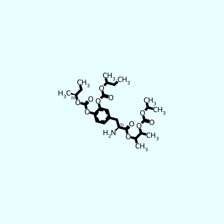 CCC(C)OC(=O)Oc1cc(C[C@H](N)C(=O)OC(C)C(C)OC(=O)OC(C)C)ccc1OC(=O)O[C@@H](C)CC